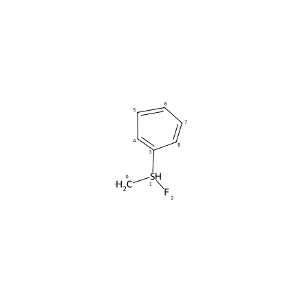 [CH2][SH](F)c1ccccc1